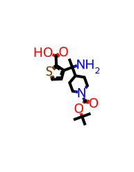 CC(C)(C)OC(=O)N1CCC(C(C)(N)c2ccsc2C(=O)O)CC1